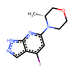 C[C@@H]1COCCN1c1cc(I)c2cn[nH]c2n1